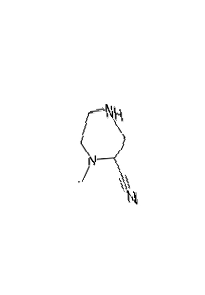 [CH2]N1CCNCC1C#N